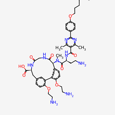 CCCCCOc1ccc(-c2nc(C)c(C(=O)N[C@@H](CCN)C(=O)N(C)[C@@H]3C(=O)NCC(=O)N[C@H](C(=O)O)Cc4ccc(OCCN)c(c4)-c4cc3ccc4OCCN)c(C)n2)cc1